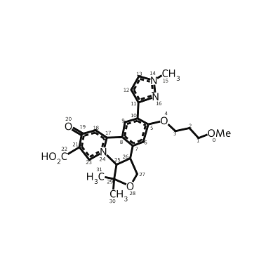 COCCCOc1cc2c(cc1-c1ccn(C)n1)-c1cc(=O)c(C(=O)O)cn1C1C2COC1(C)C